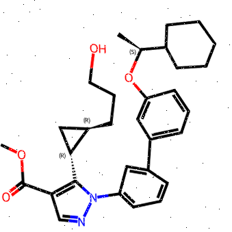 COC(=O)c1cnn(-c2cccc(-c3cccc(O[C@@H](C)C4CCCCC4)c3)c2)c1[C@@H]1C[C@H]1CCCO